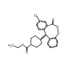 CCOC(=O)N1CCC(=C2c3ccccc3OOC(=O)c3cc(Cl)ccc32)CC1